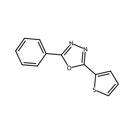 c1ccc(-c2nnc(-c3cccs3)o2)cc1